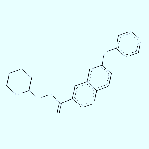 O=C(NOC1CCCCO1)c1cnc2ccc(Oc3ccncc3)cc2c1